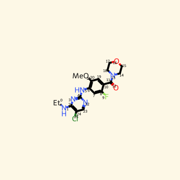 CCNc1nc(Nc2cc(F)c(C(=O)N3CCOCC3)cc2OC)ncc1Cl